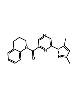 Cc1cc(C)n(-c2cncc(C(=O)N3CCCc4ccccc43)n2)n1